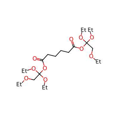 CCOCC(OCC)(OCC)OC(=O)CCCCC(=O)OC(COCC)(OCC)OCC